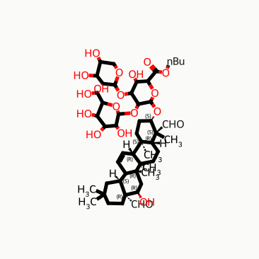 CCCCOC(=O)C1OC(O[C@H]2CC[C@]3(C)[C@H]4C=CC5[C@@H]6CC(C)(C)CC[C@]6(C=O)[C@H](O)C[C@@]5(C)[C@]4(C)CC[C@H]3[C@]2(C)C=O)C(OC2OC(CO)C(O)C(O)C2O)C(OC2OCC(O)C(O)C2O)C1O